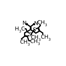 CCC1=C(CC)SC(CC)(C(=C(C#N)C#N)C2(CC)CC(CC)=C(CC)S2)C1